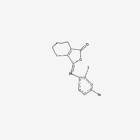 O=C1OC(=Nc2ccc(Br)cc2F)C2=C1CCCC2